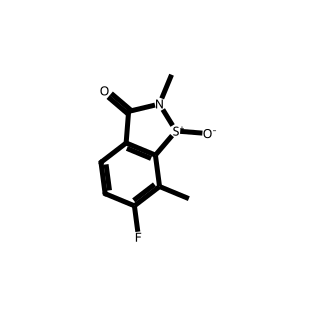 Cc1c(F)ccc2c(=O)n(C)[s+]([O-])c12